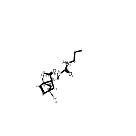 CCCNC(=O)OC[C@]1(C(C)=O)C[C@@H]2C=C[C@H]1C2